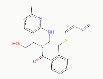 C=N/C=C\SCc1ccccc1C(=O)N(CCO)CNc1cccc(C)n1